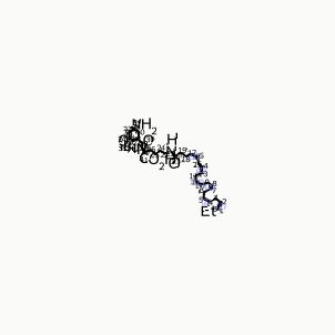 CC/C=C\C/C=C\C/C=C\C/C=C\C/C=C\C/C=C\CCC(=O)NCCCC[C@H](NC(=O)C1=C[C@@H](OC(C)CC)[C@H](C)[C@@H](N)C1)C(=O)O